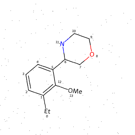 CCc1cccc(C2COCC[N]2)c1OC